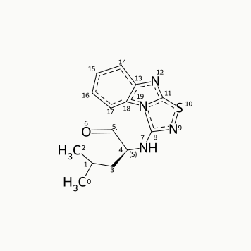 CC(C)C[C@@H]([C]=O)Nc1nsc2nc3ccccc3n12